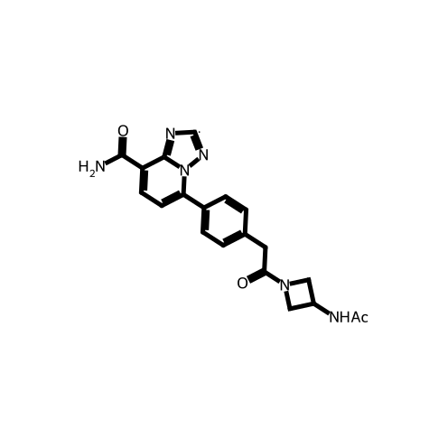 CC(=O)NC1CN(C(=O)Cc2ccc(-c3ccc(C(N)=O)c4n[c]nn34)cc2)C1